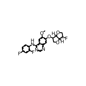 COc1cc2c(Nc3ccc(F)cc3F)ncnc2cc1OC1CO[C@H]2[C@H](F)CO[C@@H]12